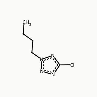 CCCCn1nnc(Cl)n1